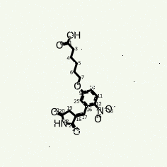 O=C(O)CCCCCOc1ccc([N+](=O)[O-])c(/C=C2\CC(=O)NC2=O)c1